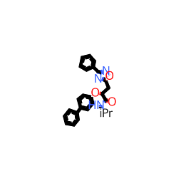 CC(C)NC(=O)C(Cc1nc(-c2ccccc2)no1)Oc1ccc(-c2ccccc2)cc1